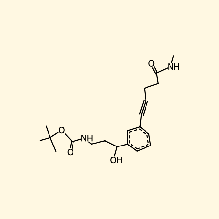 CNC(=O)CCC#Cc1cccc(C(O)CCNC(=O)OC(C)(C)C)c1